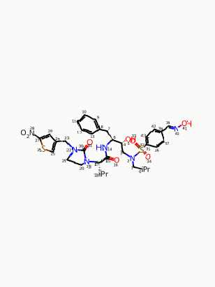 CC(C)CN(C[C@@H](O)[C@H](Cc1ccccc1)NC(=O)[C@H](C(C)C)N1CCN(Cc2csc([N+](=O)[O-])c2)C1=O)S(=O)(=O)c1ccc(/C=N/O)cc1